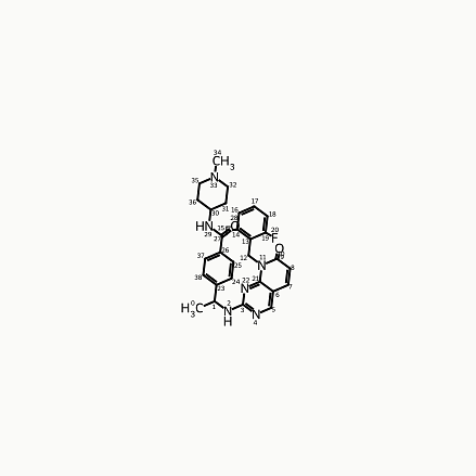 CC(Nc1ncc2ccc(=O)n(Cc3c(F)cccc3F)c2n1)c1ccc(C(=O)NC2CCN(C)CC2)cc1